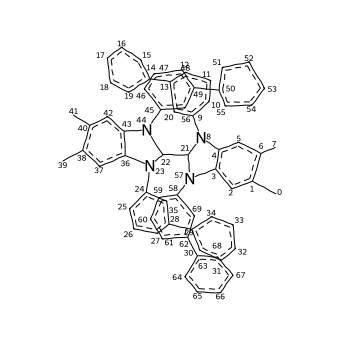 Cc1cc2c(cc1C)N(c1cccc(-c3ccccc3)c1)C(C1N(c3cccc(-c4ccccc4)c3)c3cc(C)c(C)cc3N1c1cccc(-c3ccccc3)c1)N2c1cccc(-c2ccccc2)c1